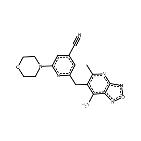 Cc1nc2nonc2c(N)c1Cc1cc(C#N)cc(N2CCOCC2)n1